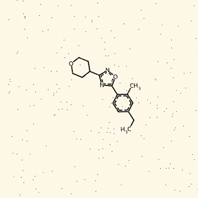 CCc1ccc(-c2nc(C3CCOCC3)no2)c(C)c1